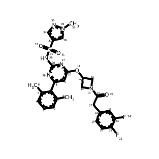 Cc1cccc(C)c1-c1cc(OC2CN(C(=O)Cc3ccc(F)c(F)c3)C2)nc(NS(=O)(=O)c2cnn(C)c2)n1